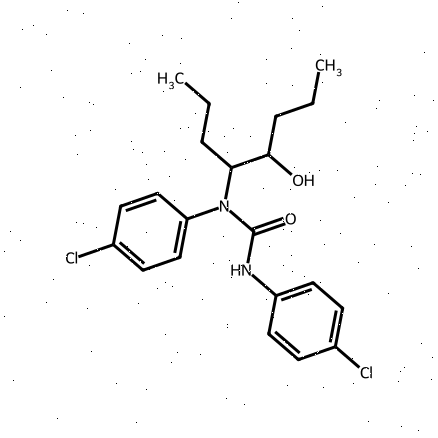 CCCC(O)C(CCC)N(C(=O)Nc1ccc(Cl)cc1)c1ccc(Cl)cc1